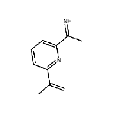 C=C(C)c1cccc(C(C)=N)n1